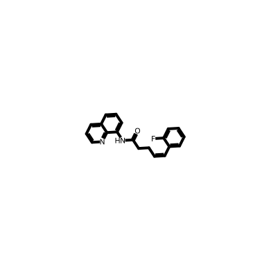 O=C(CC/C=C\c1ccccc1F)Nc1cccc2cccnc12